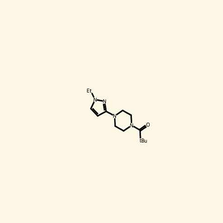 CCn1ccc(N2CCN(C(=O)C(C)(C)C)CC2)n1